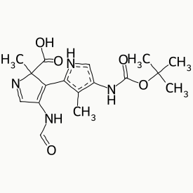 Cc1c(NC(=O)OC(C)(C)C)c[nH]c1C1=C(NC=O)C=NC1(C)C(=O)O